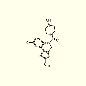 CN1CCN(C(=O)NCc2cc(C(F)(F)F)nn2-c2cccc(Cl)c2)CC1